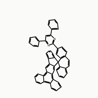 C1=Cc2ccc(-c3nc(-c4ccccc4)cc(-c4ccccc4)n3)cc2C2(c3ccccc31)c1ccccc1-c1cc3c4ccccc4c4ccccc4c3cc12